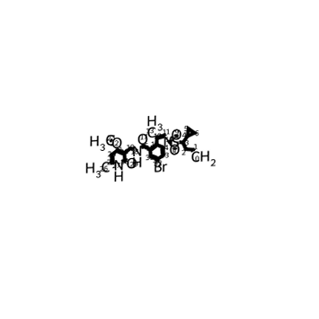 C=CCC(C1CC1)S(=O)(=O)n1cc(C)c2c(C(=O)NCc3c(OC)cc(C)[nH]c3=O)cc(Br)cc21